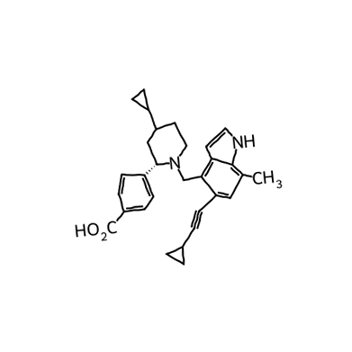 Cc1cc(C#CC2CC2)c(CN2CCC(C3CC3)C[C@H]2c2ccc(C(=O)O)cc2)c2cc[nH]c12